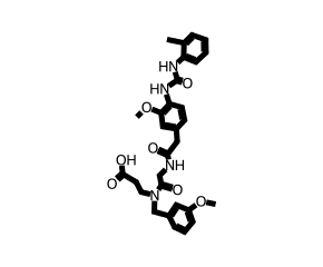 COc1cccc(CN(CCC(=O)O)C(=O)CNC(=O)Cc2ccc(NC(=O)Nc3ccccc3C)c(OC)c2)c1